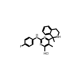 Cc1nc(Nc2ccc(F)cc2)nc(C2(C)NCCc3ccccc32)c1C.Cl